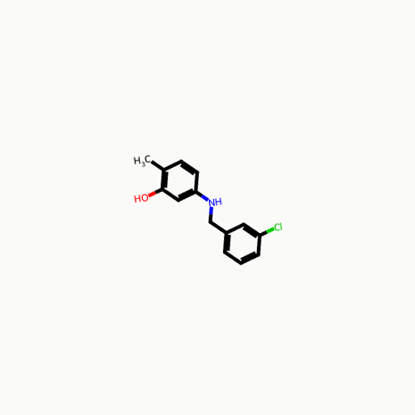 Cc1ccc(NCc2cccc(Cl)c2)cc1O